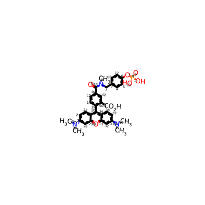 CN(Cc1ccc(OP(=O)(O)O)cc1)C(=O)c1ccc(-c2c3ccc(=[N+](C)C)cc-3oc3cc(N(C)C)ccc23)c(C(=O)O)c1